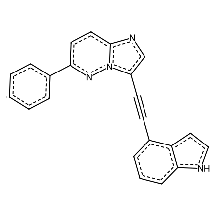 C(#Cc1cnc2ccc(-c3cc[c]cc3)nn12)c1cccc2[nH]ccc12